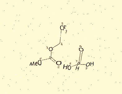 COC(=O)OCC(F)(F)F.O=[PH](O)O